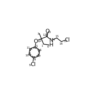 CCC(C)(Oc1ccc(Cl)cc1)C(=O)NCCCl